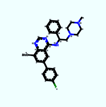 COc1cc(-c2ccc(F)cc2)cc2c(NC(CN3CCN(C)CC3)c3ccccc3)ncnc12